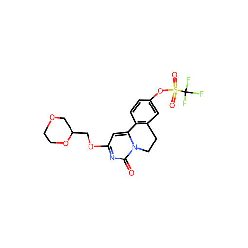 O=c1nc(OCC2COCCO2)cc2n1CCc1cc(OS(=O)(=O)C(F)(F)F)ccc1-2